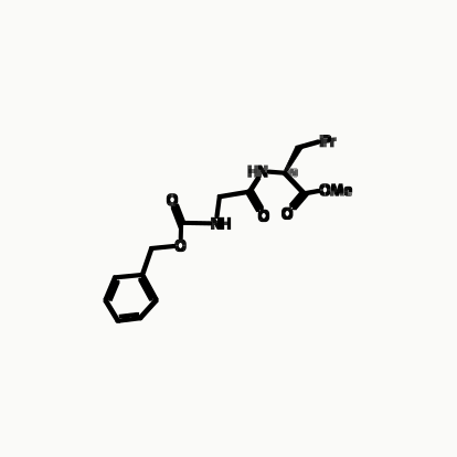 COC(=O)[C@H](CC(C)C)NC(=O)CNC(=O)OCc1ccccc1